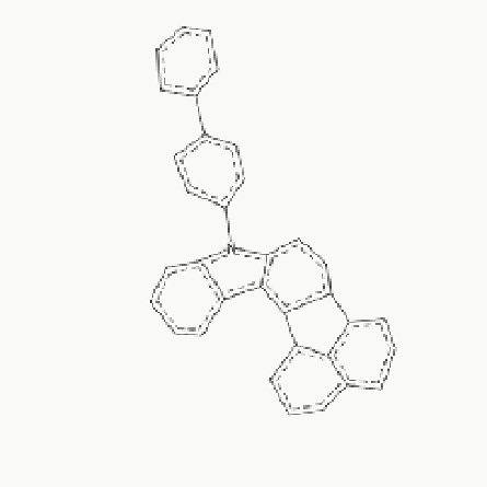 c1ccc(-c2ccc(-n3c4ccccc4c4c5c(ccc43)-c3cccc4cccc-5c34)cc2)cc1